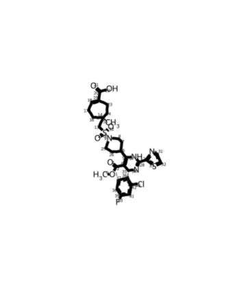 COC(=O)C1=C(C2CCN(S(=O)(=O)C[C@@]3(C)CCC=C(C(=O)O)CC3)CC2)NC(c2nccs2)=N[C@@H]1c1ccc(F)cc1Cl